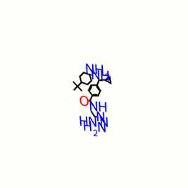 CC(C)(C)C1CCC(N)(N[C@@H](c2ccc(C(=O)NCC(=N)/N=N\N)cc2)C2CC2)CC1